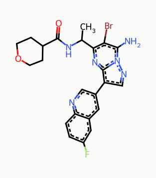 CC(NC(=O)C1CCOCC1)c1nc2c(-c3cnc4ccc(F)cc4c3)cnn2c(N)c1Br